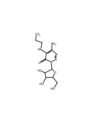 CCCNc1c(N)nnn(C2OC(CO)C(O)C2O)c1=O